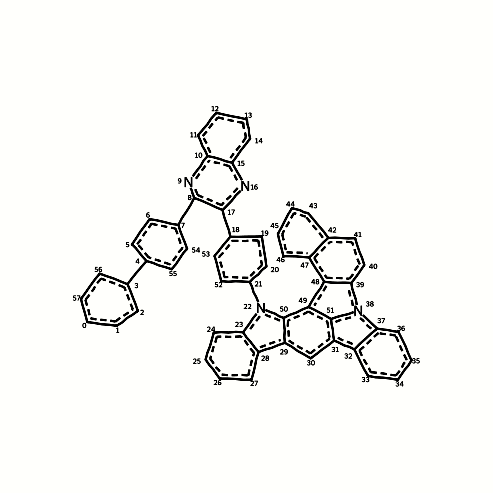 c1ccc(-c2ccc(-c3nc4ccccc4nc3-c3ccc(-n4c5ccccc5c5cc6c7ccccc7n7c8ccc9ccccc9c8c(c54)c67)cc3)cc2)cc1